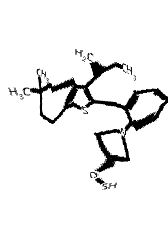 C=C(C)c1c(-c2ccccc2N2CC(OS)C2)sc2c1CC(C)(C)CC2